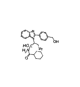 CC(C)CC(C(=O)O)n1c(-c2ccc(CO)cc2)nc2ccccc21.NC(=O)C1CCCCC1